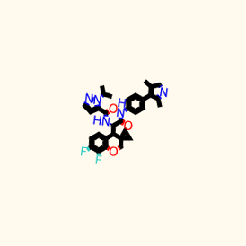 CC1=NCC(C)=C1c1ccc(NC(=O)[C@@H](NC(=O)c2ccnn2C(C)C)C2c3ccc(F)c(F)c3OCC23CC3)cc1